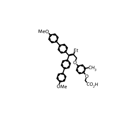 CCC(COc1ccc(OCC(=O)O)c(C)c1)=C(c1ccc(-c2ccc(OC)cc2)cc1)c1ccc(-c2ccc(OC)cc2)cc1